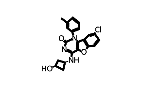 Cc1cccc(-n2c(=O)nc(N[C@H]3C[C@H](O)C3)c3oc4ccc(Cl)cc4c32)c1